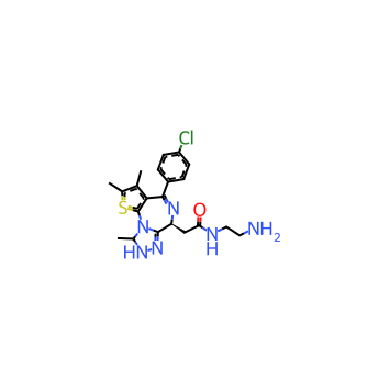 Cc1sc2c(c1C)C(c1ccc(Cl)cc1)=N[C@@H](CC(=O)NCCN)C1=NNC(C)N12